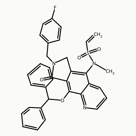 C=CS(=O)(=O)N(C)c1c2c(c(OC(c3ccccc3)c3ccccc3)c3ncccc13)C(=O)N(Cc1ccc(F)cc1)C2